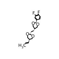 C/C=C/[C@H]1CO[C@H](CC[C@H]2CO[C@H](c3ccc(F)c(F)c3)OC2)OC1